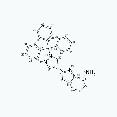 Nc1cccc2cc(-c3cnn(C(c4ccccc4)(c4ccccc4)c4ccccc4)c3)nn12